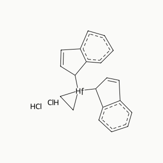 C1=C[CH]([Hf]2([CH]3C=Cc4ccccc43)[CH2][CH2]2)c2ccccc21.Cl.Cl